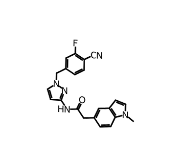 Cn1ccc2cc(CC(=O)Nc3ccn(Cc4ccc(C#N)c(F)c4)n3)ccc21